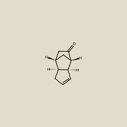 O=C1C[C@@H]2C[C@H]1[C@H]1C=CC[C@@H]21